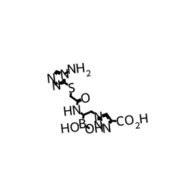 Nn1cnnc1SCC(=O)NC(Cn1cc(C(=O)O)nn1)B(O)O